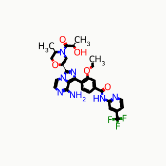 CCOc1cc(C(=O)Nc2cc(C(F)(F)F)ccn2)ccc1-c1nc([C@H]2CN(C(=O)[C@H](C)O)[C@@H](C)CO2)n2ccnc(N)c12